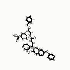 NC1=Nc2ccc(Oc3ccccc3)cc2CN1C(CCC(=O)N(CCOCc1ccccc1)[C@H]1CC[C@@H](C(=O)O)CC1)C1CCOCC1